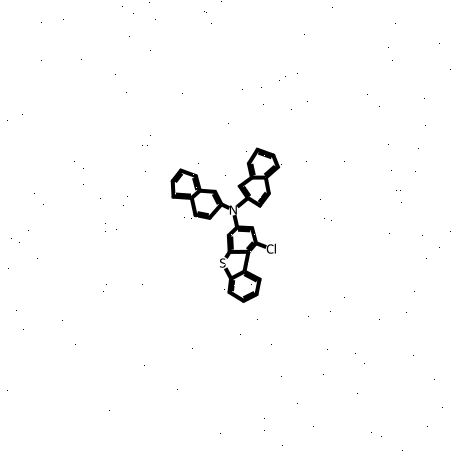 Clc1cc(N(c2ccc3ccccc3c2)c2ccc3ccccc3c2)cc2sc3ccccc3c12